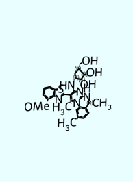 COc1cccc2sc(-c3c(C)nc(N[C@H](C)c4ccc(C)cc4)nc3N[C@@H]3C[C@H](CO)[C@@H](O)[C@H]3O)nc12